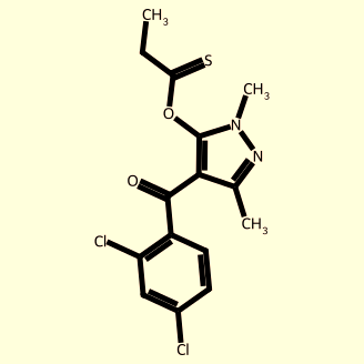 CCC(=S)Oc1c(C(=O)c2ccc(Cl)cc2Cl)c(C)nn1C